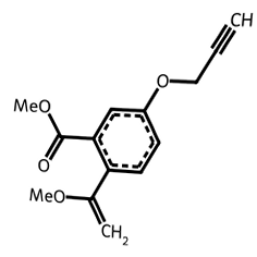 C#CCOc1ccc(C(=C)OC)c(C(=O)OC)c1